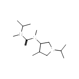 CC1CN(C(C)C)CC1N(C)C(=O)N(C)C(C)C